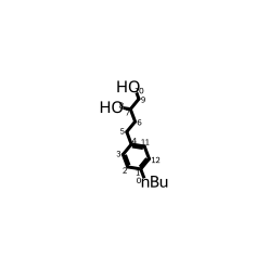 [CH2]CCCc1ccc(CCC(O)CO)cc1